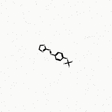 FC(F)(F)Sc1ccc(/N=N/C2=NCCS2)cc1